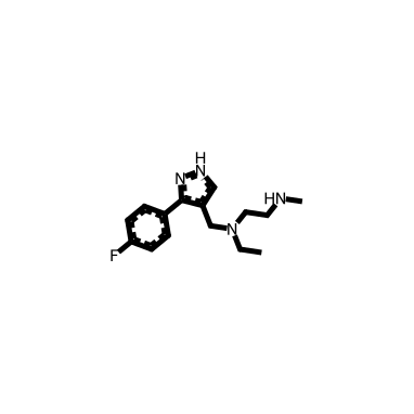 CCN(CCNC)Cc1c[nH]nc1-c1ccc(F)cc1